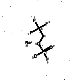 O=P([O-])(F)OCC(F)(F)F.[Na+]